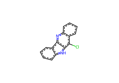 Clc1c2ccccc2nc2c1[nH]c1ccccc12